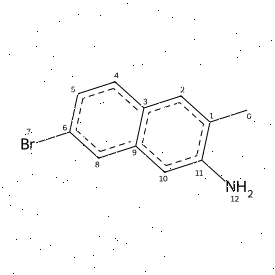 Cc1cc2ccc(Br)cc2cc1N